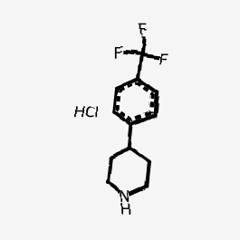 Cl.FC(F)(F)c1ccc(C2CCNCC2)cc1